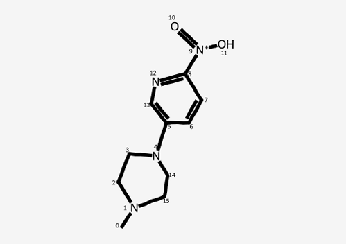 CN1CCN(c2ccc([N+](=O)O)nc2)CC1